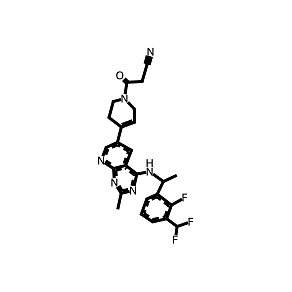 Cc1nc(NC(C)c2cccc(C(F)F)c2F)c2cc(C3=CCN(C(=O)CC#N)CC3)cnc2n1